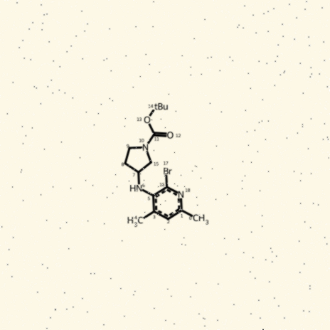 Cc1cc(C)c(NC2CCN(C(=O)OC(C)(C)C)C2)c(Br)n1